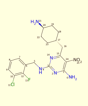 Nc1nc(NCc2cccc(Cl)c2F)nc(C[C@H]2CC[C@H](N)CC2)c1[N+](=O)[O-]